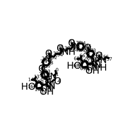 CCNC(=O)c1nnc(-c2cc(C(C)C)c(O)cc2O)n1-c1ccc(OC2CCN(C(=O)CCCC(=O)NCCC(=O)N3CCC(Oc4ccc(-n5c(C(=O)NCC)nnc5-c5cc(C(C)C)c(O)cc5O)cc4)CC3)CC2)cc1